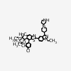 CCOC(=O)[C@@H](OC(C)(C)C)c1c(C)cc2nc(-c3ccc4c(c3)c(C3CCN([C@H]5CCNC5)CC3)nn4CC)sc2c1-c1ccc(Cl)cc1